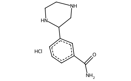 Cl.NC(=O)c1cccc(C2CNCCN2)c1